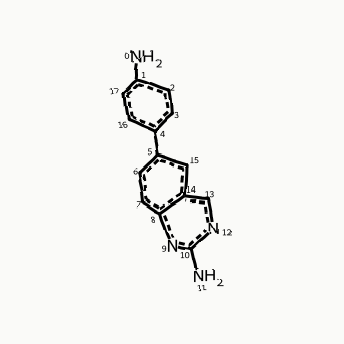 Nc1ccc(-c2ccc3nc(N)ncc3c2)cc1